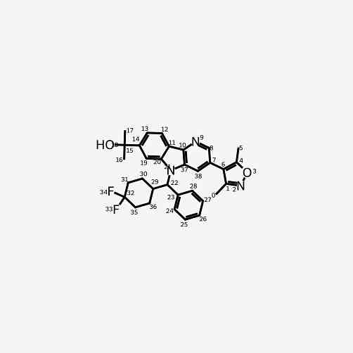 Cc1noc(C)c1-c1cnc2c3ccc(C(C)(C)O)cc3n(C(c3ccccc3)C3CCC(F)(F)CC3)c2c1